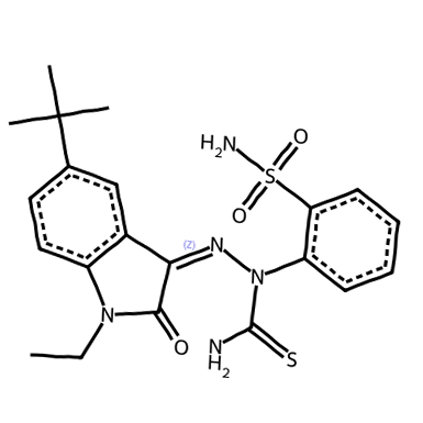 CCN1C(=O)/C(=N\N(C(N)=S)c2ccccc2S(N)(=O)=O)c2cc(C(C)(C)C)ccc21